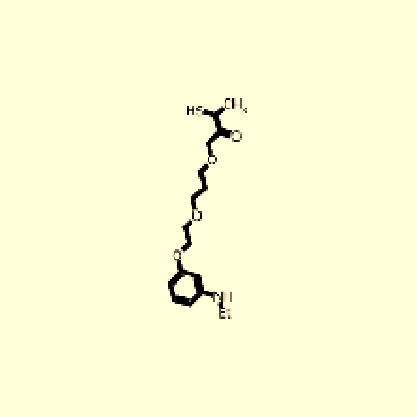 CCNc1cccc(OCCOCCCOCC(=O)C(C)S)c1